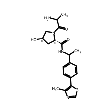 Cc1ncsc1-c1ccc(C(C)NC(=O)[C@@H]2C[C@@H](O)CN2C(=O)C(C)N)cc1